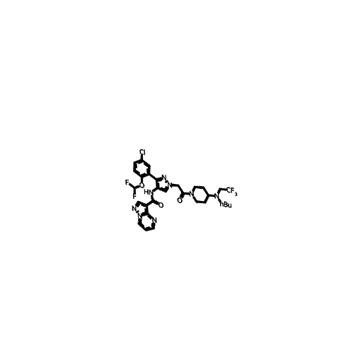 CCCCN(CC(F)(F)F)C1CCN(C(=O)Cn2cc(NC(=O)c3cnn4cccnc34)c(-c3cc(Cl)ccc3OC(F)F)n2)CC1